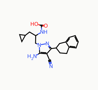 N#Cc1c(C2CCc3ccccc3C2)nn(CC(CC2CC2)NC(=O)O)c1N